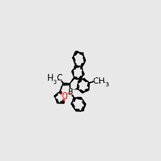 CC1=C(c2ccc3ccccc3c2)[B-](c2ccccc2)(c2ccc(C)cc2)[o+]2cccc21